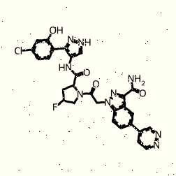 NC(=O)c1nn(CC(=O)N2CC(F)CC2C(=O)Nc2c[nH]nc2-c2ccc(Cl)cc2O)c2ccc(-c3ccnnc3)cc12